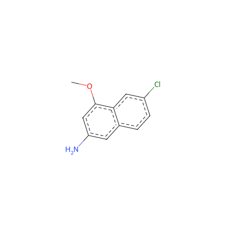 COc1cc(N)cc2ccc(Cl)cc12